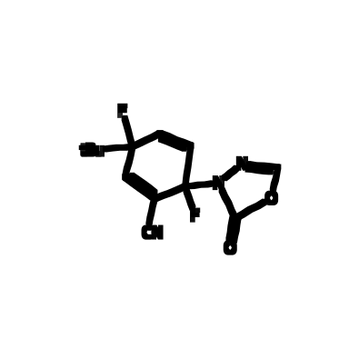 CC(C)(C)C1(F)C=CC(F)(n2ncoc2=O)C(C#N)=C1